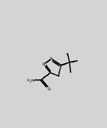 CC(C)(C)C1=NN=C(C(N)=O)C1